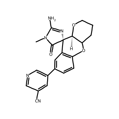 CN1C(=O)[C@]2(N=C1N)c1cc(-c3cncc(C#N)c3)ccc1OC1CCCO[C@@H]12